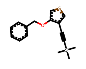 C[Si](C)(C)C#Cc1cscc1OCc1ccccc1